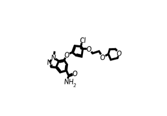 Cn1ncc2cc(C(N)=O)cc(Oc3ccc(OCCOC4CCOCC4)c(Cl)c3)c21